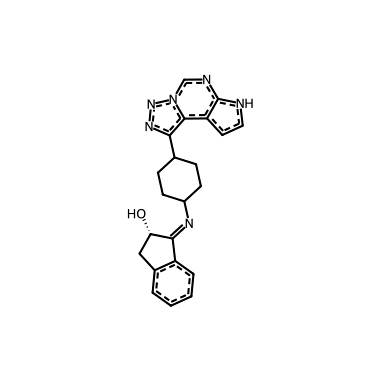 O[C@H]1Cc2ccccc2/C1=N/C1CCC(c2nnn3cnc4[nH]ccc4c23)CC1